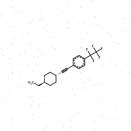 CC[C@H]1CC[C@H](C#Cc2ccc(C(F)(F)C(F)(F)F)cc2)CC1